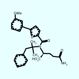 COc1cccc(-c2ccc(C(=O)N([C@@H](CCC(N)=O)C(=O)O)C(C)(C)Cc3ccccc3)s2)c1